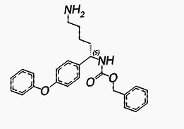 NCCCC[C@H](NC(=O)OCc1ccccc1)c1ccc(Oc2ccccc2)cc1